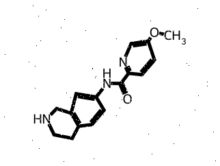 COc1ccc(C(=O)Nc2ccc3c(c2)CNCC3)nc1